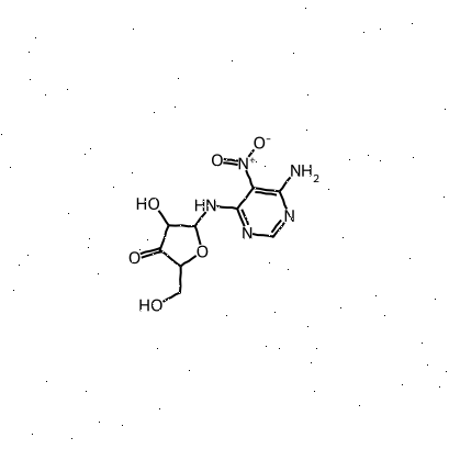 Nc1ncnc(NC2OC(CO)C(=O)C2O)c1[N+](=O)[O-]